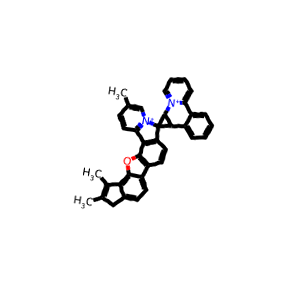 CC1=C(C)c2c(ccc3c2oc2c4c(ccc23)C2(C3c5ccccc5-c5cccc[n+]5C32)[n+]2cc(C)ccc2-4)C1